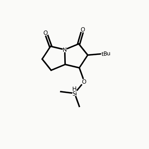 C[SiH](C)OC1C2CCC(=O)N2C(=O)C1C(C)(C)C